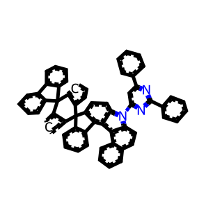 c1ccc(-c2cc(-n3c4ccc5c(c4c4c6ccccc6ccc43)-c3ccccc3C53c4ccccc4C4(c5ccccc5-c5ccccc54)c4ccccc43)nc(-c3ccccc3)n2)cc1